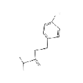 COc1ccc(CCC(=O)C(C)Cl)cc1